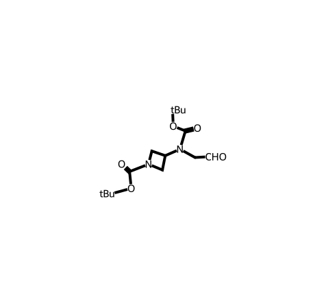 CC(C)(C)OC(=O)N1CC(N(CC=O)C(=O)OC(C)(C)C)C1